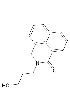 O=C1c2cccc3cccc(c23)CN1CCCO